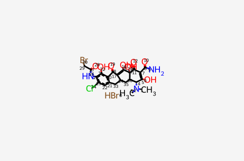 Br.CN(C)[C@@H]1C(O)=C(C(N)=O)C(=O)[C@@]2(O)C(O)=C3C(=O)c4c(cc(Cl)c(NC(=O)CBr)c4O)CC3CC12